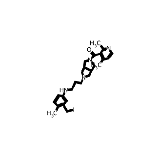 Cc1ccc(NCCCN2CC3CN(C(=O)c4c(C)ccnc4C)CC3C2)cc1CI